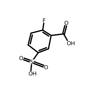 O=C(O)c1cc(S(=O)(=O)O)ccc1F